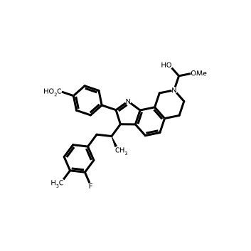 COC(O)N1CCc2ccc3c(c2C1)N=C(c1ccc(C(=O)O)cc1)C3[C@@H](C)Cc1ccc(C)c(F)c1